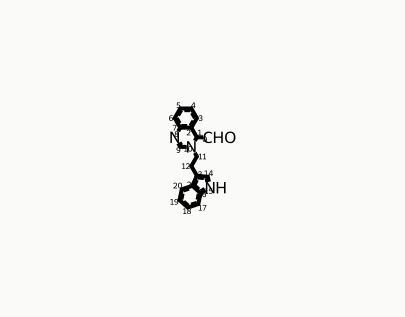 O=CC1c2ccccc2N=CN1CCc1c[nH]c2ccccc12